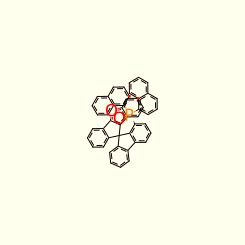 O=P(c1cccc2c1C1(c3ccccc3-2)c2ccccc2-c2oc3ccccc3c21)(c1cccc2ccccc12)c1cccc2ccccc12